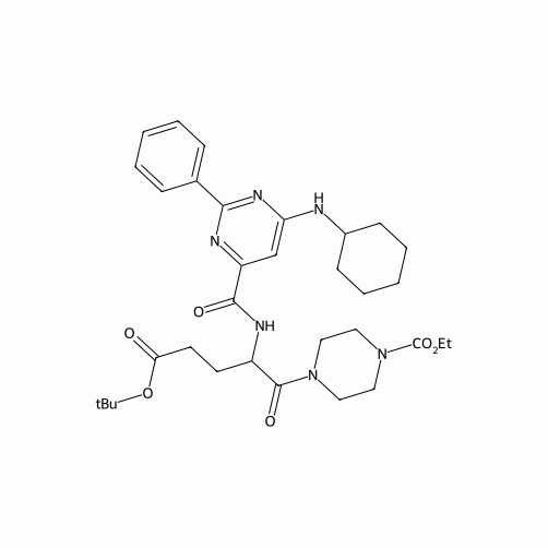 CCOC(=O)N1CCN(C(=O)C(CCC(=O)OC(C)(C)C)NC(=O)c2cc(NC3CCCCC3)nc(-c3ccccc3)n2)CC1